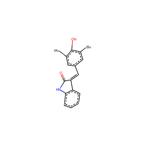 CC(C)(C)c1cc(C=C2C(=O)Nc3ccccc32)cc(C(C)(C)C)c1O